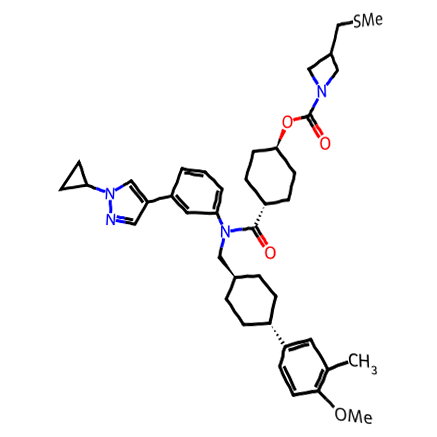 COc1ccc([C@H]2CC[C@H](CN(c3cccc(-c4cnn(C5CC5)c4)c3)C(=O)[C@H]3CC[C@H](OC(=O)N4CC(CSC)C4)CC3)CC2)cc1C